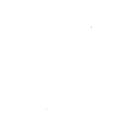 CCCc1cc(C(O)(CC)CC)ccc1-c1cc(NC)ccc1C